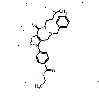 CCNC(=O)c1ccc(-n2nnc(C(=O)NCCOC)c2COCc2ccccc2)cc1